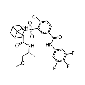 COC[C@@H](C)NC(=O)CC1(O)C2CC1CC(S(=O)(=O)c1cc(C(=O)Nc3cc(F)c(F)c(F)c3)ccc1Cl)C2